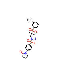 CC(C)(CNS(=O)(=O)c1ccc(N2CCCC2=O)cc1)S(=O)(=O)c1cccc(C(F)(F)F)c1